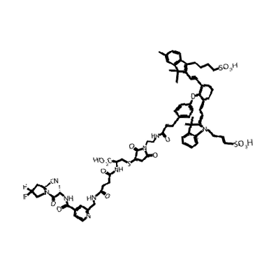 Cc1ccc2c(c1)C(C)(C)C(/C=C/C1=C(Oc3ccc(CCC(=O)NCCN4C(=O)CC(SCC(NC(=O)CCC(=O)NCc5cc(C(=O)N[C@@H](C)C(=O)N6CC(F)(F)C[C@H]6C#N)ccn5)C(=O)O)C4=O)cc3)C(=C/C=C3/N(CCCCS(=O)(=O)O)c4ccccc4C3(C)C)/CCC1)=C2CCCCS(=O)(=O)O